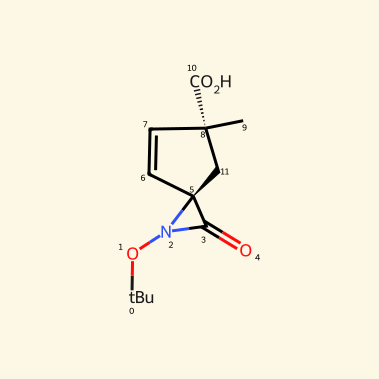 CC(C)(C)ON1C(=O)[C@@]12C=C[C@](C)(C(=O)O)C2